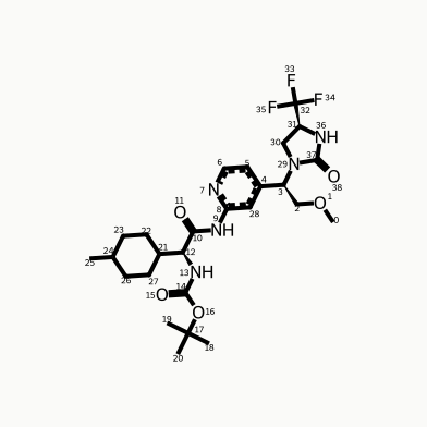 COC[C@@H](c1ccnc(NC(=O)[C@@H](NC(=O)OC(C)(C)C)C2CCC(C)CC2)c1)N1C[C@@H](C(F)(F)F)NC1=O